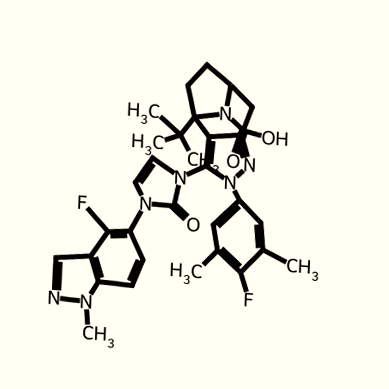 Cc1cc(-n2nc3c(c2-n2ccn(-c4ccc5c(cnn5C)c4F)c2=O)C2(C(C)(C)C)CCC(C3)N2C(=O)O)cc(C)c1F